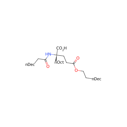 CCCCCCCCCCCCOC(=O)CC[C@](CCCCCCCC)(NC(=O)CCCCCCCCCCC)C(=O)O